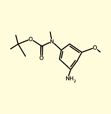 COc1cc(N)cc(N(C)C(=O)OC(C)(C)C)c1